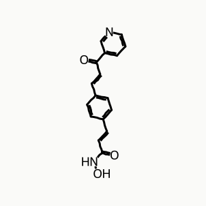 O=C(/C=C/c1ccc(/C=C/C(=O)c2cccnc2)cc1)NO